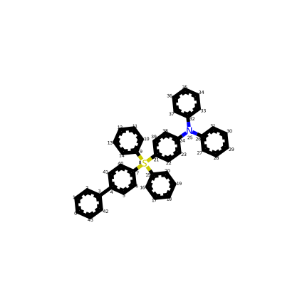 c1ccc(-c2ccc(S(c3ccccc3)(c3ccccc3)c3ccc(N(c4ccccc4)c4ccccc4)cc3)cc2)cc1